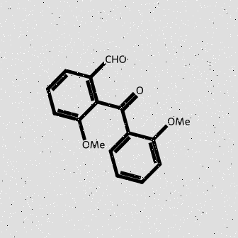 COc1ccccc1C(=O)c1c([C]=O)cccc1OC